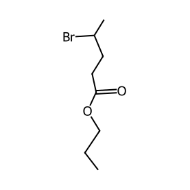 CCCOC(=O)CCC(C)Br